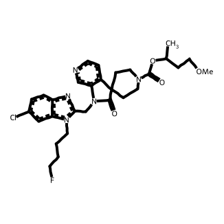 COCCC(C)OC(=O)N1CCC2(CC1)C(=O)N(Cc1nc3ccc(Cl)cc3n1CCCCF)c1cnccc12